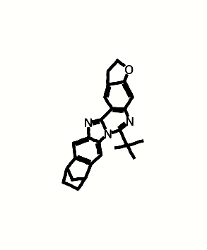 CC(C)(C)c1nc2cc3c(cc2c2nc4cc5c(cc4n12)C1CCC5C1)CCO3